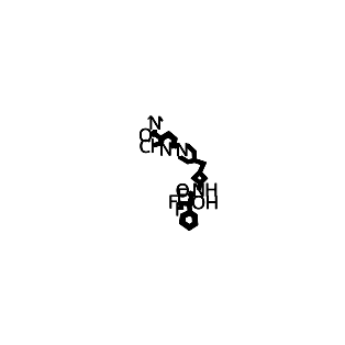 CN(C)C(=O)c1ccc(N2CCC(CC3CC(NC(=O)C(O)(c4ccccc4)C(F)(F)F)C3)CC2)nc1Cl